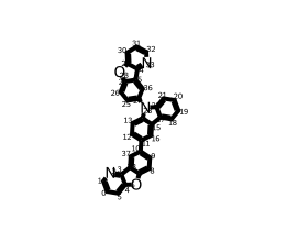 c1cnc2c(c1)oc1ccc(-c3ccc4c(c3)c3ccccc3n4-c3ccc4oc5cccnc5c4c3)cc12